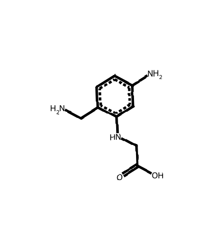 NCc1ccc(N)cc1NCC(=O)O